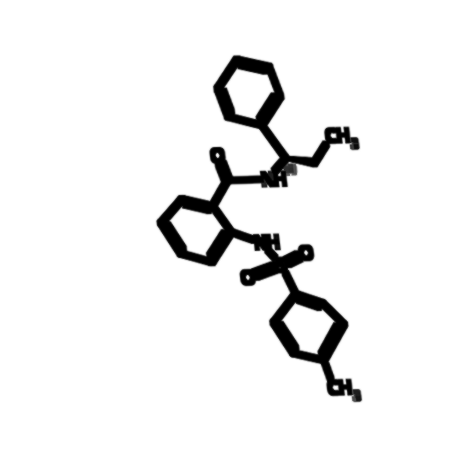 CC[C@@H](NC(=O)c1ccccc1NS(=O)(=O)c1ccc(C)cc1)c1ccccc1